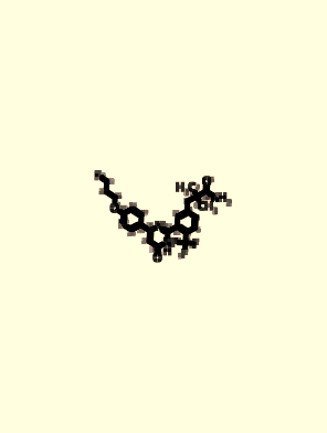 CC(C)(Cc1ccc(C(F)(F)F)c(-c2nc(-c3ccc(OCCCF)nc3)cc(=O)[nH]2)c1)C(N)=O